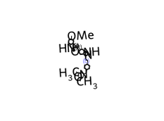 COc1ccc2c(c1)[C@@]1(C[C@@H]1c1ccc3c(/C=C/c4ccc(CN5CC(C)OC(C)C5)cc4)n[nH]c3c1)C(=O)N2